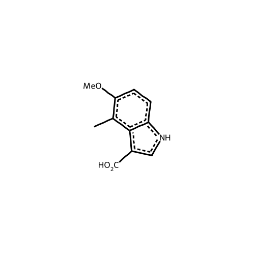 COc1ccc2[nH]cc(C(=O)O)c2c1C